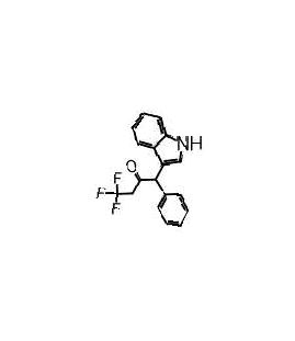 O=C(CC(F)(F)F)C(c1ccccc1)c1c[nH]c2ccccc12